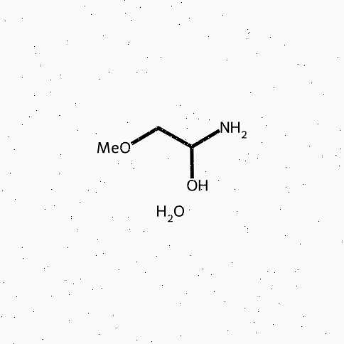 COCC(N)O.O